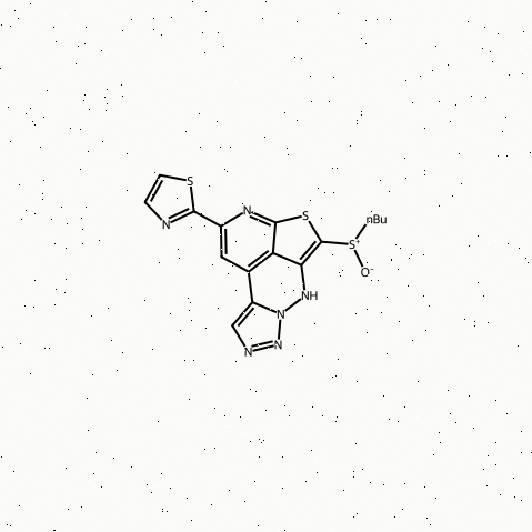 CCCC[S+]([O-])c1sc2nc(-c3nccs3)cc3c2c1[nH]n1nncc31